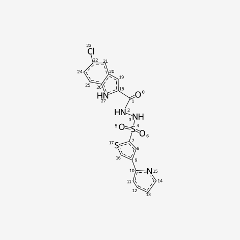 O=C(NNS(=O)(=O)c1cc(-c2ccccn2)cs1)c1cc2cc(Cl)ccc2[nH]1